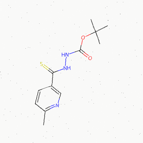 Cc1ccc(C(=S)NNC(=O)OC(C)(C)C)cn1